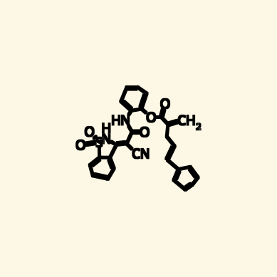 C=C(CC=Cc1ccccc1)C(=O)Oc1ccccc1NC(=O)C(C#N)=C1NS(=O)(=O)c2ccccc21